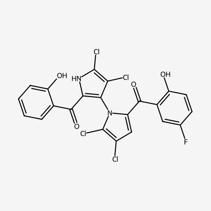 O=C(c1ccccc1O)c1[nH]c(Cl)c(Cl)c1-n1c(C(=O)c2cc(F)ccc2O)cc(Cl)c1Cl